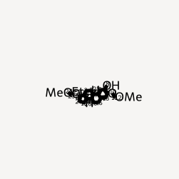 CC[C@]12CC[C@@H]3c4cc(O)c(OCOC)cc4CC[C@H]3[C@@H]1CC[C@@H]2OCOC